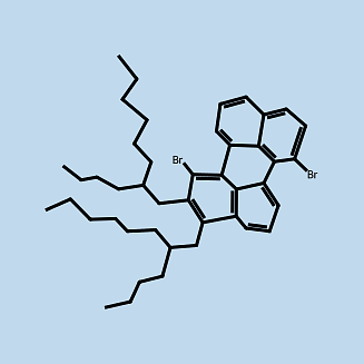 CCCCCCC(CCCC)Cc1c(CC(CCCC)CCCCCC)c2cccc3c4c(Br)ccc5cccc(c(c1Br)c23)c54